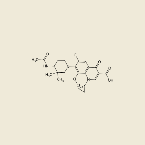 COc1c(N2CCC(NC(C)=O)C(C)(C)C2)c(F)cc2c(=O)c(C(=O)O)cn(C3CC3)c12